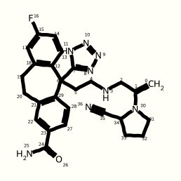 C=C(CNCCC1(c2nnn[nH]2)c2ccc(F)cc2CCc2cc(C(N)=O)ccc21)N1CCCC1C#N